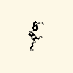 Cn1ccc2cc(-n3ncc4nc(NCCCO)c(CO)nc43)ccc21